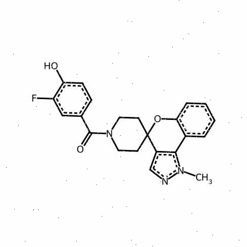 Cn1ncc2c1-c1ccccc1OC21CCN(C(=O)c2ccc(O)c(F)c2)CC1